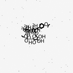 [2H]C([2H])(c1ccc(OC(C)C)cc1)c1c(O[C@@H]2O[C@H](COC(=O)OCC)[C@@H](O)[C@H](O)[C@H]2O)nn(C([2H])(C([2H])([2H])[2H])C([2H])([2H])[2H])c1C